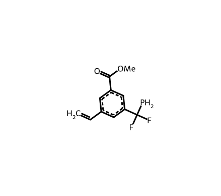 C=Cc1cc(C(=O)OC)cc(C(F)(F)P)c1